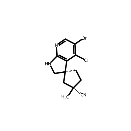 C[C@]1(C#N)CC[C@@]2(CNc3ncc(Br)c(Cl)c32)C1